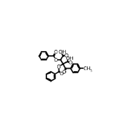 Cc1ccc(C(=O)C(OC(=O)c2ccccc2)(C(=O)O)C(OC(=O)c2ccccc2)C(=O)O)cc1